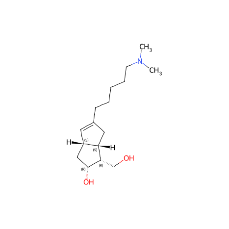 CN(C)CCCCCC1=C[C@H]2C[C@@H](O)[C@@H](CO)[C@H]2C1